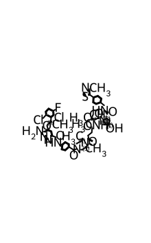 Cc1ncsc1-c1ccc(CNC(=O)[C@@H]2C[C@@H](O)CN2C(=O)C(NC(=O)CCC(=O)N2[C@H](C)CN(C(=O)c3ccc(NC(=O)c4cc(O[C@H](C)c5c(Cl)ccc(F)c5Cl)c(N)nn4)cc3)C[C@@H]2C)C(C)(C)C)cc1